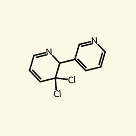 ClC1(Cl)C=CC=NC1c1cccnc1